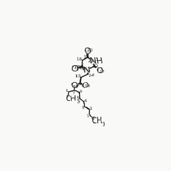 CCCCCCCC(CC)OC(=O)CCN1C(=O)CC(=O)NC1=O